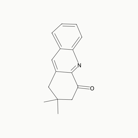 CC1(C)CC(=O)c2nc3ccccc3cc2C1